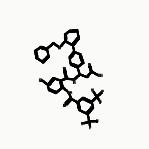 O=C(O)CC(NC(=O)c1cc(Cl)ccc1NC(=O)c1cc(C(F)(F)F)cc(C(F)(F)F)c1)c1ccc(-c2ccccc2OCc2ccccc2)cc1